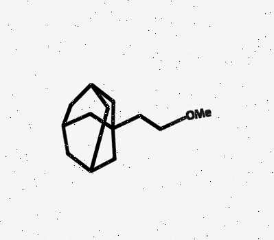 COCCC12CC3CC(CC(C3)C1)C2